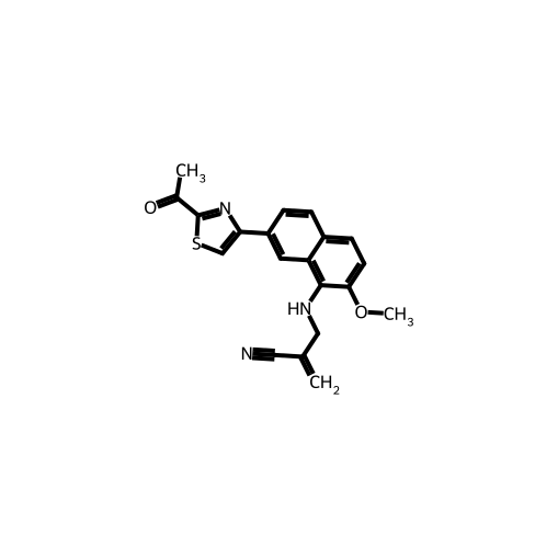 C=C(C#N)CNc1c(OC)ccc2ccc(-c3csc(C(C)=O)n3)cc12